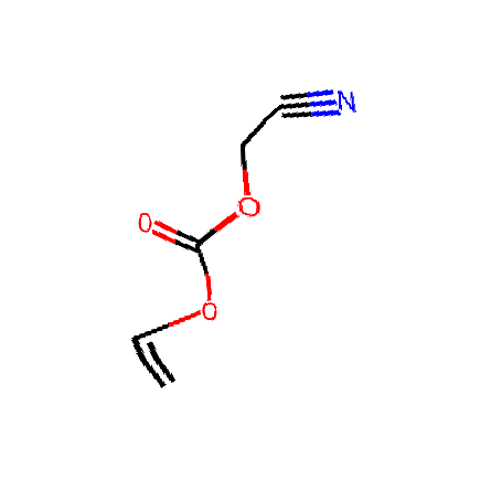 C=COC(=O)OCC#N